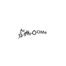 COc1ccc(NN=C(Sc2cc(C)cs2)C(C)=O)cc1